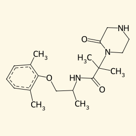 Cc1cccc(C)c1OCC(C)NC(=O)C(C)(C)N1CCNCC1=O